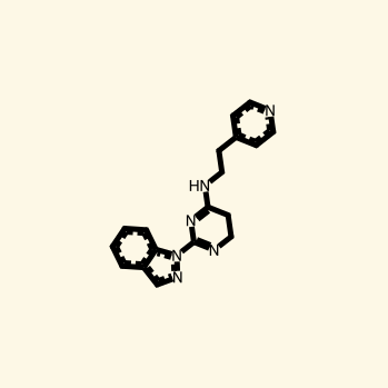 c1ccc2c(c1)cnn2C1=NCCC(NCCc2ccncc2)=N1